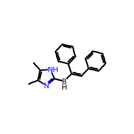 Cc1nc(BC(=Cc2ccccc2)c2ccccc2)[nH]c1C